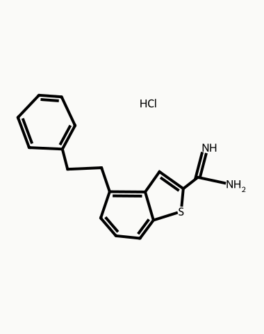 Cl.N=C(N)c1cc2c(CCc3ccccc3)cccc2s1